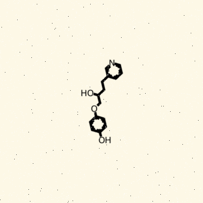 Oc1ccc(OCC(O)CCc2cccnc2)cc1